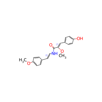 CO/C(=C\c1ccc(O)cc1)C(=O)N/C=C/c1ccc(OC)cc1